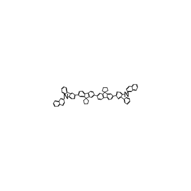 c1ccc2cc(-n3c4ccccc4c4cc(-c5ccc6c(c5)C5(CCCC5)c5cc(-c7ccc8c(c7)C7(CCCC7)c7cc(-c9ccc%10c(c9)c9ccccc9n%10-c9ccc%10ccccc%10c9)ccc7-8)ccc5-6)ccc43)ccc2c1